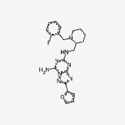 Nc1nc(NCC2CCCCN2Cc2ccccc2F)nc2nc(-c3ccco3)nn12